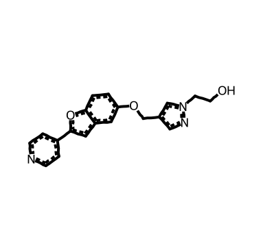 OCCn1cc(COc2ccc3oc(-c4ccncc4)cc3c2)cn1